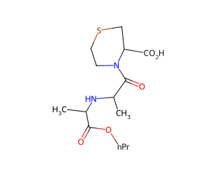 CCCOC(=O)C(C)NC(C)C(=O)N1CCSCC1C(=O)O